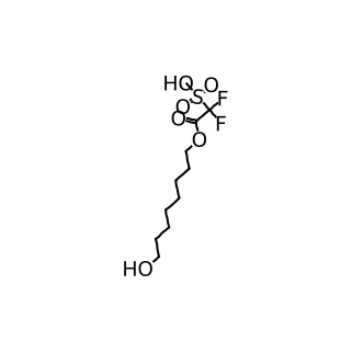 O=C(OCCCCCCCCO)C(F)(F)S(=O)(=O)O